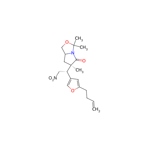 C=CCCc1cc([C@H](C[N+](=O)[O-])[C@@]2(C)CC3COC(C)(C)N3C2=O)co1